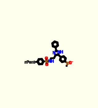 CCCCCc1ccc(S(=O)(=O)NCCc2nc(-c3ccccc3)[nH]c2-c2ccc([S+](C)[O-])cc2)cc1